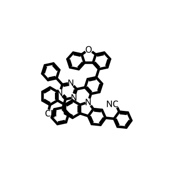 N#Cc1ccccc1-c1ccc2c3ccc(-c4ccccc4C#N)cc3n(-c3ccc(-c4cccc5oc6ccccc6c45)cc3-c3nc(-c4ccccc4)nc(-c4ccccc4)n3)c2c1